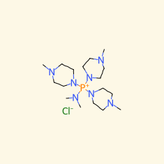 CN1CCN([P+](N(C)C)(N2CCN(C)CC2)N2CCN(C)CC2)CC1.[Cl-]